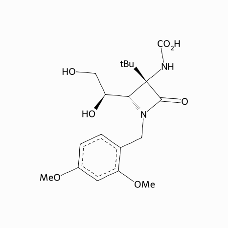 COc1ccc(CN2C(=O)[C@](NC(=O)O)(C(C)(C)C)[C@H]2[C@@H](O)CO)c(OC)c1